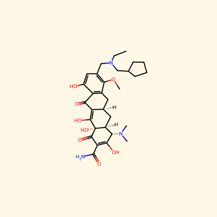 CCN(Cc1cc(O)c2c(c1OC)C[C@H]1C[C@H]3[C@H](N(C)C)C(O)=C(C(N)=O)C(=O)[C@@]3(O)C(O)=C1C2=O)CC1CCCC1